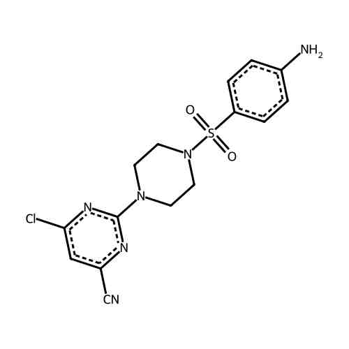 N#Cc1cc(Cl)nc(N2CCN(S(=O)(=O)c3ccc(N)cc3)CC2)n1